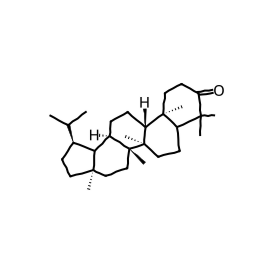 CC(C)[C@@H]1CC[C@]2(C)CC[C@]3(C)[C@H](CC[C@@H]4[C@@]5(C)CCC(=O)C(C)(C)C5CC[C@]43C)C12